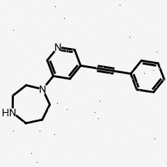 C(#Cc1cncc(N2CCCNCC2)c1)c1ccccc1